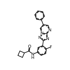 O=C(Nc1ccc(F)c(-c2nc3ncc(-c4ccccc4)cn3n2)c1)C1CCC1